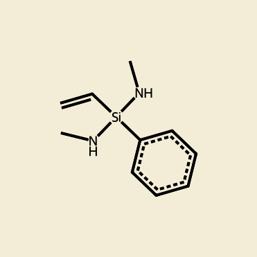 C=C[Si](NC)(NC)c1ccccc1